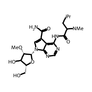 CNC(CC(C)C)C(=O)Nc1ncnc2c1c(C(N)=O)cn2[C@@H]1O[C@H](CO)C(O)[C@@H]1OC